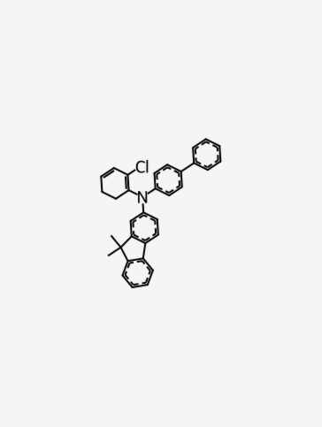 CC1(C)c2ccccc2-c2ccc(N(C3=C(Cl)C=CCC3)c3ccc(-c4ccccc4)cc3)cc21